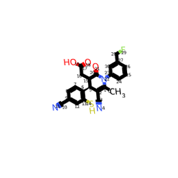 CC1=C(C#N)[C@@H](c2ccc(C#N)cc2S)C(CC(=O)O)C(=O)N1c1cccc(CF)c1